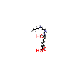 CCCCC/C=C\C/C=C\C=C\[C@@H](O)CCCCCCC(=O)O